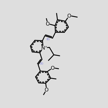 COc1ccc(/C=C/c2cccc(/C=C/c3ccc(OC)c(C)c3OC)[n+]2CC(C)C)c(OC)c1C